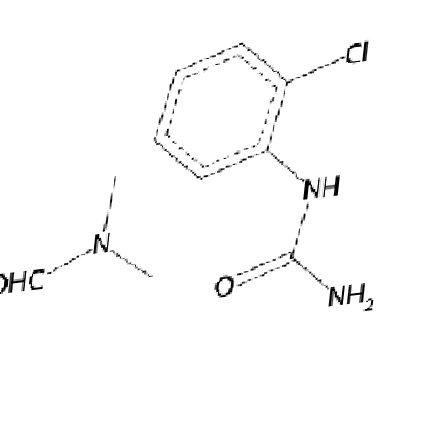 CN(C)C=O.NC(=O)Nc1ccccc1Cl